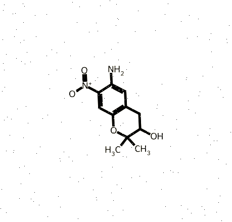 CC1(C)Oc2cc([N+](=O)[O-])c(N)cc2CC1O